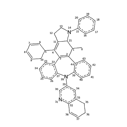 CC1C2=C(C(C3C=CC=CC3)=C3CCN(c4ccccc4)C31)c1ccccc1N(c1cnc3c(c1)CCC=C3)c1ccccc12